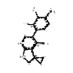 CC(=O)c1c(N)ccc(-c2cnc3c(c2Cl)C2(CC2)CN3)c1F